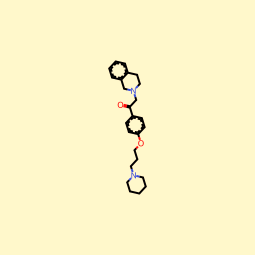 O=C(CN1CCc2ccccc2C1)c1ccc(OCCCN2CCCCC2)cc1